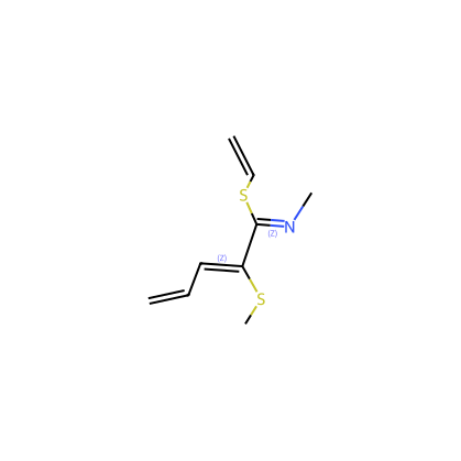 C=C/C=C(SC)/C(=N/C)SC=C